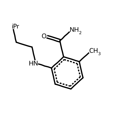 Cc1cccc(NCCC(C)C)c1C(N)=O